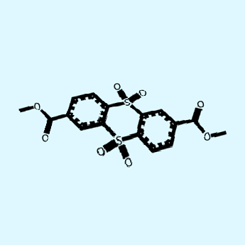 COC(=O)c1ccc2c(c1)S(=O)(=O)c1ccc(C(=O)OC)cc1S2(=O)=O